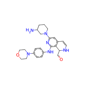 NC1CCCN(c2cc3c(c(Nc4ccc(N5CCOCC5)cc4)n2)C(C=O)NC=C3)C1